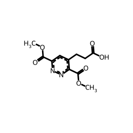 COC(=O)c1cc(CCC(=O)O)c(C(=O)OC)nn1